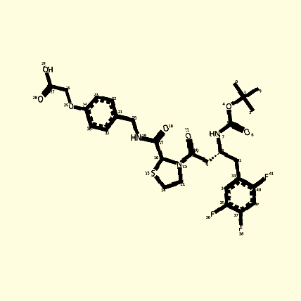 CC(C)(C)OC(=O)N[C@@H](CC(=O)N1CCSC1C(=O)NCc1ccc(OCC(=O)O)cc1)Cc1cc(F)c(F)cc1F